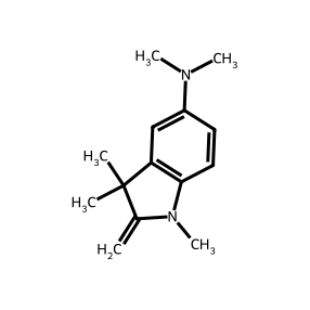 C=C1N(C)c2ccc(N(C)C)cc2C1(C)C